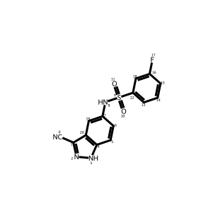 N#Cc1n[nH]c2ccc(NS(=O)(=O)c3cccc(F)c3)cc12